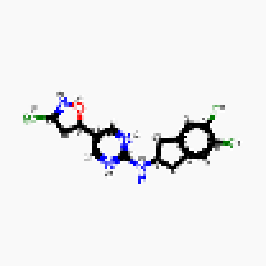 Fc1cc2c(cc1F)CC(Nc1ncc(C3CC(Br)=NO3)cn1)C2